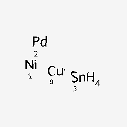 [Cu].[Ni].[Pd].[SnH4]